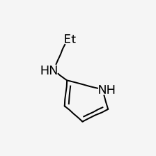 [CH2]CNc1ccc[nH]1